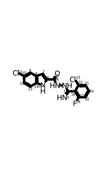 N=C(NNC(=O)c1cc2cc(Cl)ccc2[nH]1)c1c(F)cccc1Cl